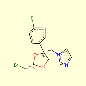 Fc1ccc([C@@]2(Cn3ccnc3)CO[C@H](CBr)O2)cc1